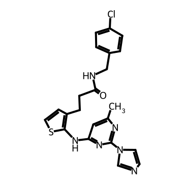 Cc1cc(Nc2sccc2CCC(=O)NCc2ccc(Cl)cc2)nc(-n2ccnc2)n1